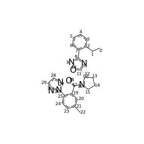 CCc1ccccc1-c1noc([C@@H]2CCCN2C(=O)c2cc(C)ccc2-n2nccn2)n1